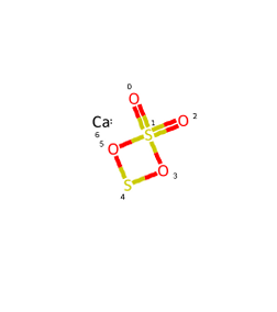 O=S1(=O)OSO1.[Ca]